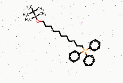 CC(C)(C)[Si](C)(C)OCCCCCCCCCCC[P+](c1ccccc1)(c1ccccc1)c1ccccc1.[I-]